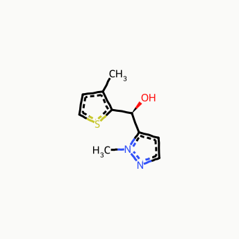 Cc1ccsc1[C@@H](O)c1ccnn1C